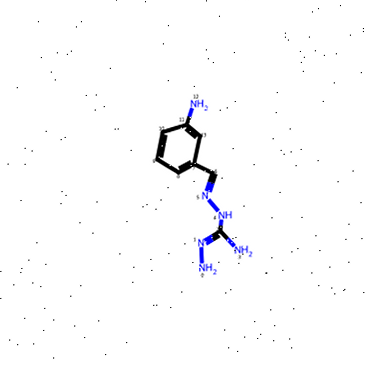 NN=C(N)NN=Cc1cccc(N)c1